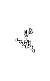 CCC(=O)NCC(O)COc1ccc(C2C3=C(CCN2C(=O)Oc2ccc(Cl)cc2)C2C=C(Cl)C=CC2N3)cc1